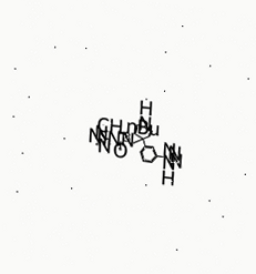 CCCCc1cn(-c2ncnn2C)c(=O)n1CC1(c2cccc(-c3nnn[nH]3)c2)C=CNC=C1